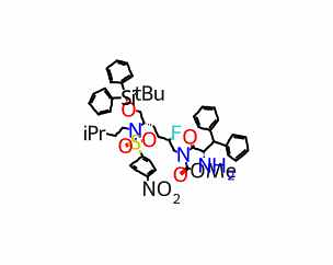 COC(=O)N(CC(F)CC[C@@H](CO[Si](c1ccccc1)(c1ccccc1)C(C)(C)C)N(CCC(C)C)S(=O)(=O)c1ccc([N+](=O)[O-])cc1)C(=O)[C@@H](N)C(c1ccccc1)c1ccccc1